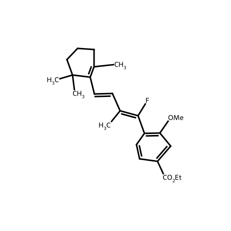 CCOC(=O)c1ccc(/C(F)=C(C)/C=C/C2=C(C)CCCC2(C)C)c(OC)c1